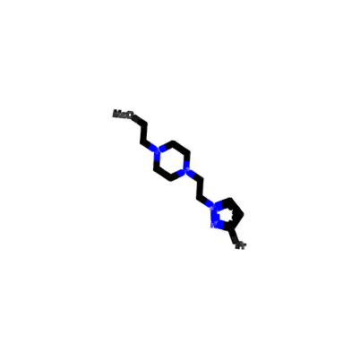 COCCN1CCN(CCn2ccc(C(C)C)n2)CC1